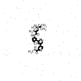 CNC(=O)c1cc(-c2cnnc(-c3cc(NC(=O)/C(N)=C/N(N)C(C)(C)C)ccc3C)c2)ccn1